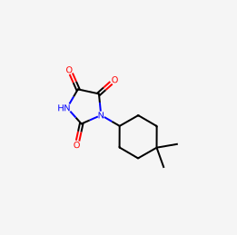 CC1(C)CCC(N2C(=O)NC(=O)C2=O)CC1